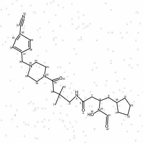 CC(C)(CNC(=O)CC(CC1CCCC1)N(O)C=O)CC(=O)N1CCN(Cc2ccc(C#N)cc2)CC1